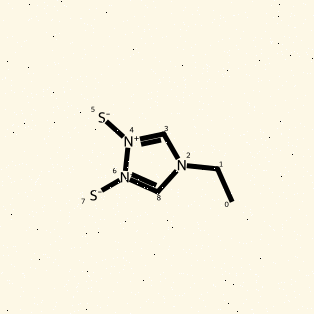 CCn1c[n+]([S-])[n+]([S-])c1